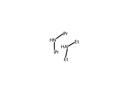 CC(C)NC(C)C.C[CH2][AlH][CH2]C